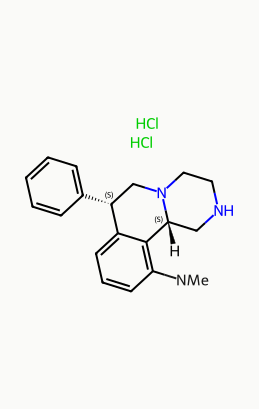 CNc1cccc2c1[C@H]1CNCCN1C[C@H]2c1ccccc1.Cl.Cl